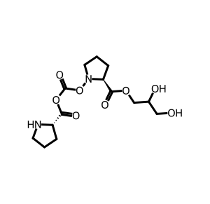 O=C(OC(=O)[C@@H]1CCCN1)ON1CCC[C@H]1C(=O)OCC(O)CO